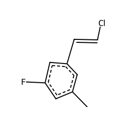 Cc1cc(F)cc(C=CCl)c1